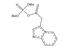 COP(=O)(OC)OC(=O)Cc1cnc2ccccn12